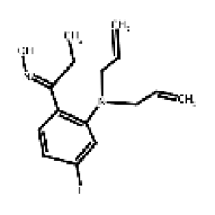 C=CCN(CC=C)c1cc(F)ccc1C(CC)=NO